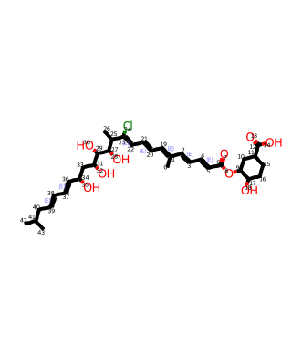 CC(/C=C/C=C/C(=O)OC1CC(C(=O)O)CCC1O)=C\C=C\C=C(/Cl)C(C)C(O)C(O)C(O)CC(O)/C=C/C=C/CC(C)C